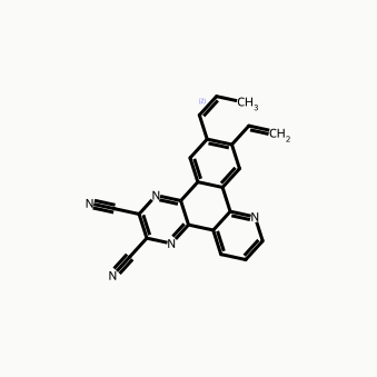 C=Cc1cc2c(cc1/C=C\C)c1nc(C#N)c(C#N)nc1c1cccnc21